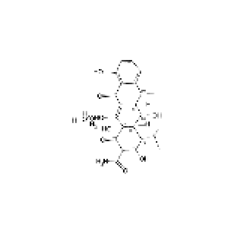 C[C@H]1c2cccc(O)c2C(=O)C2=C(O)[C@]3(O)C(=O)C(C(N)=O)=C(O)[C@@H](N(C)C)[C@@H]3[C@@H](O)[C@@H]21.O.O.[H+]